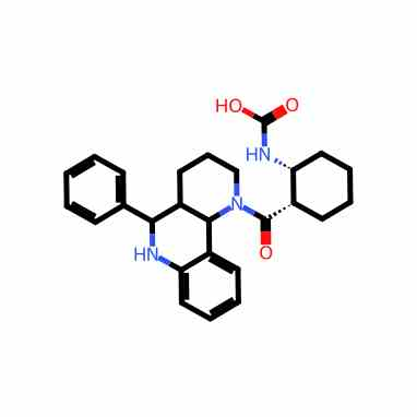 O=C(O)N[C@@H]1CCCC[C@@H]1C(=O)N1CCCC2C(c3ccccc3)Nc3ccccc3C21